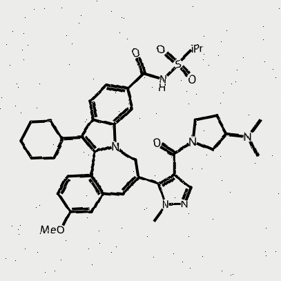 COc1ccc2c(c1)C=C(c1c(C(=O)N3CCC(N(C)C)C3)cnn1C)Cn1c-2c(C2CCCCC2)c2ccc(C(=O)NS(=O)(=O)C(C)C)cc21